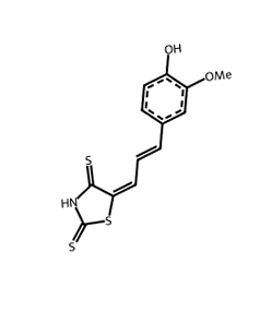 COc1cc(C=CC=C2SC(=S)NC2=S)ccc1O